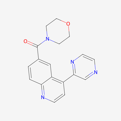 O=C(c1ccc2nccc(-c3cnccn3)c2c1)N1CCOCC1